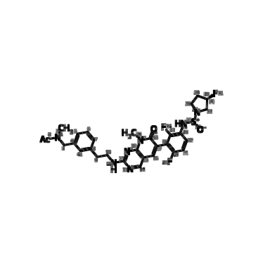 CC(=O)N(C)Cc1cccc(CCNc2ncc3cc(-c4c(F)ccc(N[S+]([O-])N5CC[C@@H](F)C5)c4F)c(=O)n(C)c3n2)c1